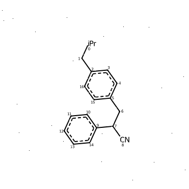 CC(C)Cc1ccc(CC(C#N)c2ccccc2)cc1